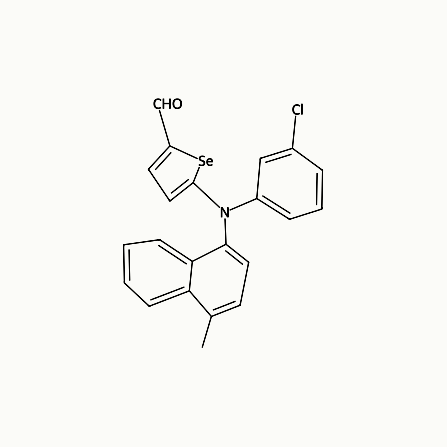 Cc1ccc(N(c2cccc(Cl)c2)c2ccc(C=O)[se]2)c2ccccc12